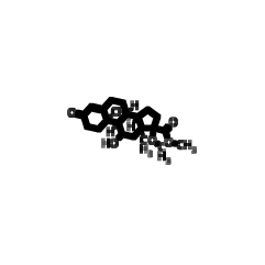 COC(=O)C1(OC)CC[C@H]2[C@@H]3CCC4=CC(=O)CC[C@]4(C)[C@@H]3C(O)C[C@@]21C